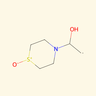 [CH2]C(O)N1CC[S+]([O-])CC1